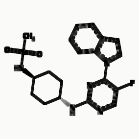 CS(=O)(=O)N[C@H]1CC[C@H](Nc2ncc(F)c(-n3ccc4ccccc43)n2)CC1